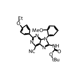 CCOc1ccc(-c2nc(C#N)c3nc(NC(=O)OC(C)(C)C)n(-c4ccccc4OC)c3n2)cc1